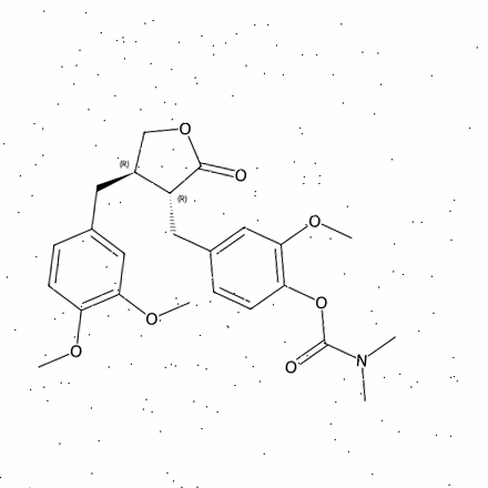 COc1ccc(C[C@H]2COC(=O)[C@@H]2Cc2ccc(OC(=O)N(C)C)c(OC)c2)cc1OC